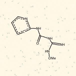 CONC(=N)NC(=O)Nc1ccccn1